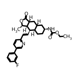 CCOC(=O)N[C@H]1CC[C@@H]2[C@@H](C1)C[C@H]1C(=O)O[C@H](C)[C@@H]1[C@@H]2/C=C/c1ccc(-c2cccc(F)c2)cn1